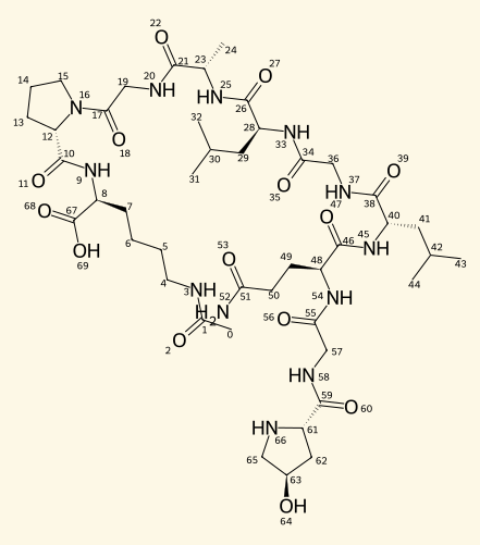 CC(=O)NCCCC[C@H](NC(=O)[C@@H]1CCCN1C(=O)CNC(=O)[C@H](C)NC(=O)[C@H](CC(C)C)NC(=O)CNC(=O)[C@H](CC(C)C)NC(=O)[C@H](CCC(N)=O)NC(=O)CNC(=O)[C@@H]1C[C@@H](O)CN1)C(=O)O